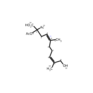 CC(=O)OC(C/C=C(/C)CCC=C(C)CO)(C(C)=O)C(=O)O